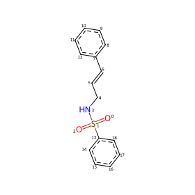 O=S(=O)(NCC=Cc1ccccc1)c1ccccc1